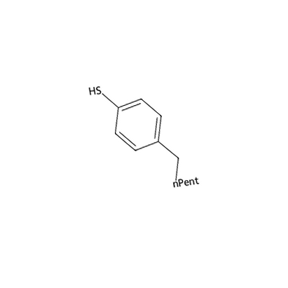 CCCCCCc1ccc(S)cc1